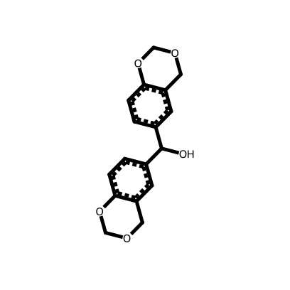 OC(c1ccc2c(c1)COCO2)c1ccc2c(c1)COCO2